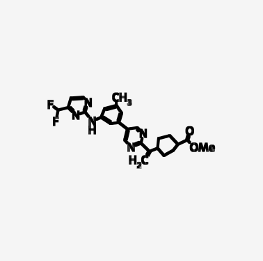 C=C(c1ncc(-c2cc(C)cc(Nc3nccc(C(F)F)n3)c2)cn1)C1CCC(C(=O)OC)CC1